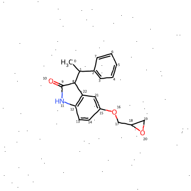 CC(c1ccccc1)C1C(=O)Nc2ccc(OCC3CO3)cc21